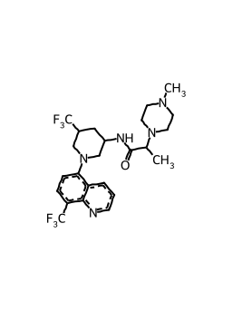 CC(C(=O)NC1CC(C(F)(F)F)CN(c2ccc(C(F)(F)F)c3ncccc23)C1)N1CCN(C)CC1